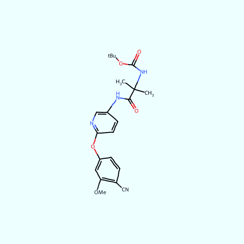 COc1cc(Oc2ccc(NC(=O)C(C)(C)NC(=O)OC(C)(C)C)cn2)ccc1C#N